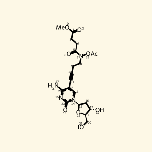 COC(=O)CCC(=O)N(CCC#Cc1cn([C@H]2C[C@H](O)[C@@H](CO)O2)c(=O)nc1N)OC(C)=O